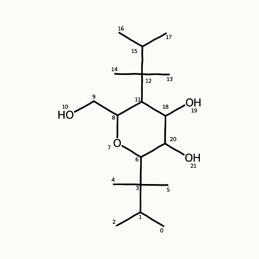 CC(C)C(C)(C)C1OC(CO)C(C(C)(C)C(C)C)C(O)C1O